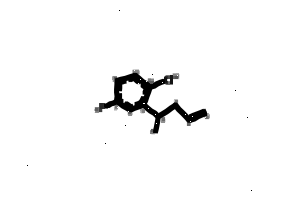 C=CC[C](C)c1cc(F)ccc1Cl